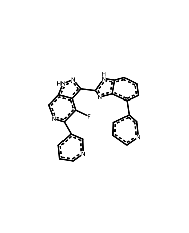 Fc1c(-c2cccnc2)ncc2[nH]nc(-c3nc4c(-c5cccnc5)cccc4[nH]3)c12